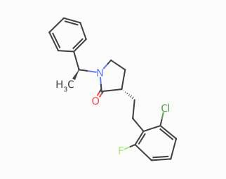 C[C@@H](c1ccccc1)N1CC[C@H](CCc2c(F)cccc2Cl)C1=O